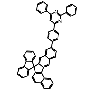 c1ccc(-c2cc(-c3ccc(-c4ccc5cc6c(cc5c4)C4(c5ccccc5-c5ccccc54)c4ccc5ccccc5c4-6)cc3)nc(-c3ccccc3)n2)cc1